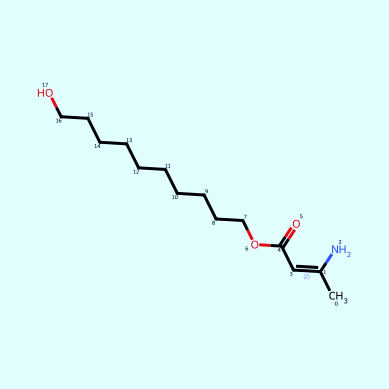 C/C(N)=C/C(=O)OCCCCCCCCCCO